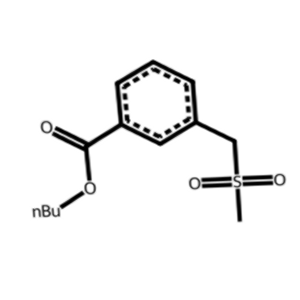 CCCCOC(=O)c1cccc(CS(C)(=O)=O)c1